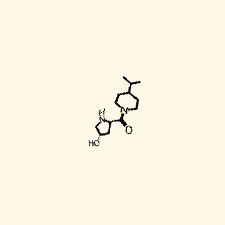 CC(C)C1CCN(C(=O)[C@H]2C[C@H](O)CN2)CC1